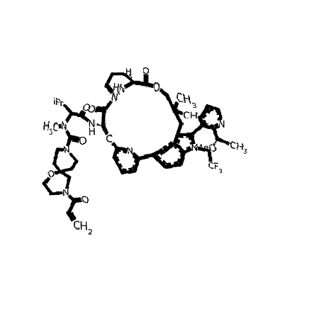 C=CC(=O)N1CCOC2(CCN(C(=O)N(C)C(C(=O)N[C@H]3Cc4cccc(n4)-c4ccc5c(c4)c(c(-c4cccnc4[C@H](C)OC)n5CC(F)(F)F)CC(C)(C)COC(=O)[C@@H]4CCCN(N4)C3=O)C(C)C)CC2)C1